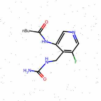 CCCCC(=O)Nc1cncc(F)c1CNC(N)=O